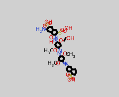 COc1cc(N=Nc2cc(OCCO)c(N=Nc3c(SOOO)cc4cc(S(=O)(=O)O)c(N)cc4c3O)cc2OC)c(OC)cc1N=Nc1ccc2c(S(=O)(=O)O)cccc2c1